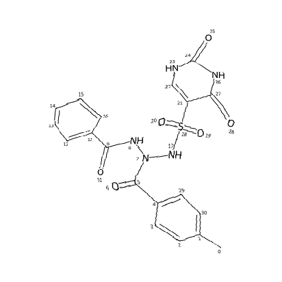 Cc1ccc(C(=O)N(NC(=O)c2ccccc2)NS(=O)(=O)c2c[nH]c(=O)[nH]c2=O)cc1